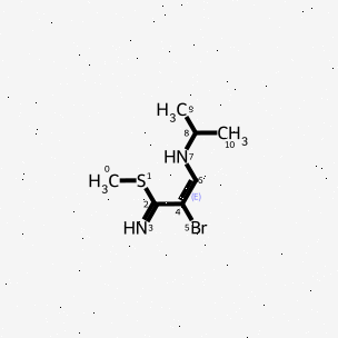 CSC(=N)/C(Br)=C\NC(C)C